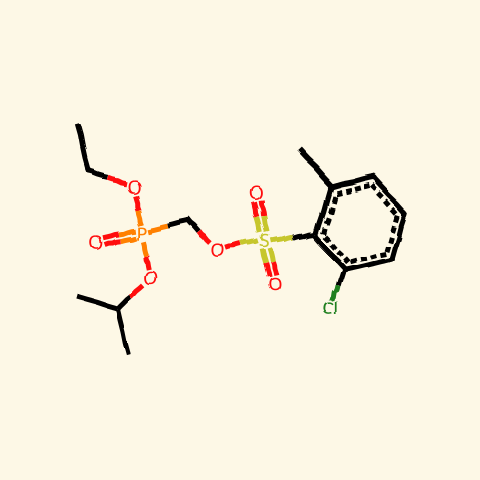 CCOP(=O)(COS(=O)(=O)c1c(C)cccc1Cl)OC(C)C